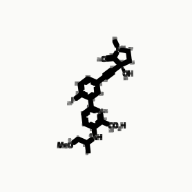 COCC(C)Nc1ccc(-c2cc(C#C[C@]3(O)CCN(C)C3=O)ccc2F)nc1C(=O)O